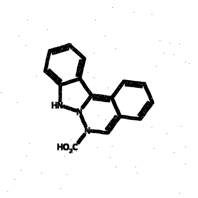 O=C(O)N1C=c2ccccc2=C2c3ccccc3NN21